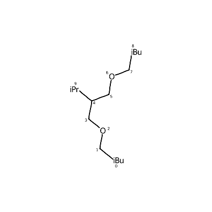 CCC(C)COCC(COCC(C)CC)C(C)C